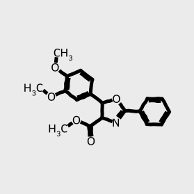 COC(=O)C1N=C(c2ccccc2)OC1c1ccc(OC)c(OC)c1